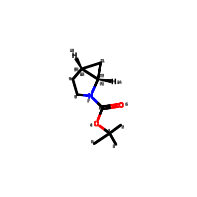 CC(C)(C)OC(=O)N1CC[C@@H]2C[C@@H]21